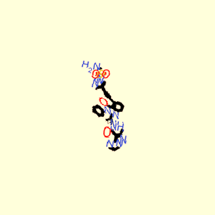 Cc1nn2cccnc2c1C(=O)N[C@@H](C)c1nc2cccc(C#Cc3cnn(S(=O)(=O)CN)c3)c2c(=O)n1-c1ccccc1